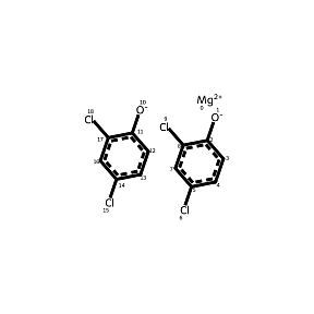 [Mg+2].[O-]c1ccc(Cl)cc1Cl.[O-]c1ccc(Cl)cc1Cl